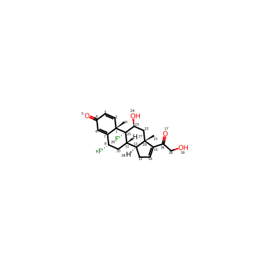 C[C@]12C=CC(=O)C=C1[C@@H](F)C[C@H]1[C@@H]3CC=C(C(=O)CO)[C@@]3(C)C[C@H](O)[C@@]12F